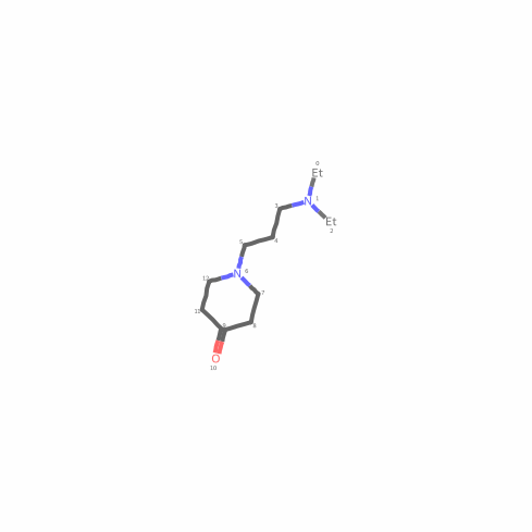 CCN(CC)CCCN1CCC(=O)CC1